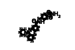 NS(=O)(=O)c1ccc(CNC(=O)c2ccc3c(c2)N=C(N2CCCCC2)c2ccccc2S3)cc1